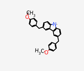 COc1ccc(Cc2ccc3c(c2)-c2cc(Cc4ccc(OC)cc4)ccc2[N]3)cc1